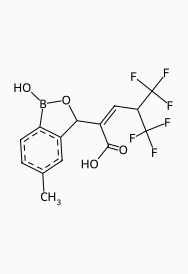 Cc1ccc2c(c1)C(C(=CC(C(F)(F)F)C(F)(F)F)C(=O)O)OB2O